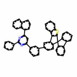 c1ccc(-c2nc(-c3cccc(-c4ccc5c(c4)-c4c(sc6ccccc46)C54c5ccccc5-c5ccccc54)c3)cc(-c3cccc4ccccc34)n2)cc1